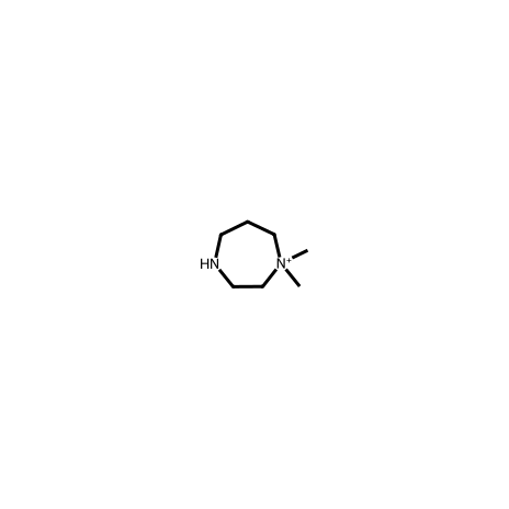 C[N+]1(C)CCCNCC1